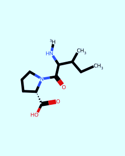 [3H]NC(C(=O)N1CCC[C@H]1C(=O)O)C(C)CC